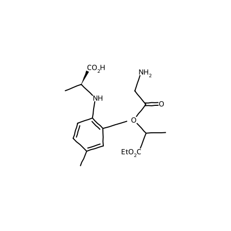 CCOC(=O)C(C)OC(=O)CN.Cc1ccc(N[C@@H](C)C(=O)O)c(C)c1